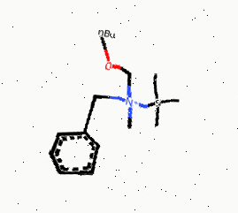 CCCCOC[N+](C)(Cc1ccccc1)[Si](C)(C)C